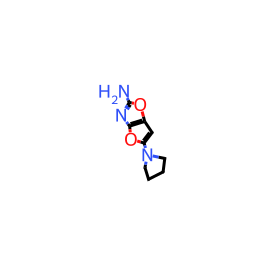 Nc1nc2oc(N3CCCC3)cc2o1